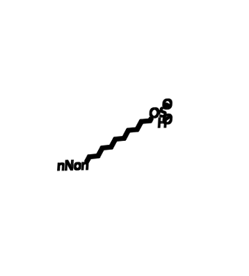 CCCCCCCCCCCCCCCCCCCO[SH](=O)=O